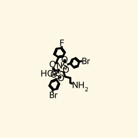 NCCCC[C@@](C(=O)O)(N(Cc1ccc(F)cc1)S(=O)(=O)c1ccc(Br)cc1)S(=O)(=O)c1ccc(Br)cc1